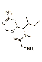 C=C(CN)N(C)[C@@H]([C@@H](C)CC)[C@@H](CC(N)=O)OC